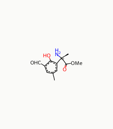 COC(=O)[C@@](C)(N)c1cc(C)cc(C=O)c1O